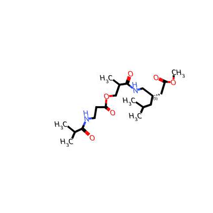 COC(=O)C[C@@H](CNC(=O)C(C)COC(=O)CCNC(=O)C(C)C)CC(C)C